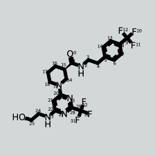 O=C(NCCc1ccc(C(F)(F)F)cc1)[C@@H]1CCCN(c2cc(NCCO)nc(C(F)(F)F)n2)C1